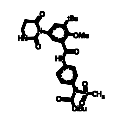 COc1c(C(=O)Nc2ccc(N(C(=O)OCC(C)C)S(C)(=O)=O)cc2)cc(N2C(=O)CCNC2=O)cc1C(C)(C)C